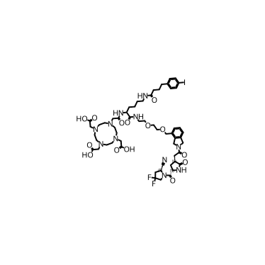 N#C[C@@H]1CC(F)(F)CN1C(=O)[C@@H]1C[C@@H](CC(=O)N2Cc3cccc(COCCOCCNC(=O)C(CCCCNC(=O)CCCc4ccc(I)cc4)NC(=O)CN4CCN(CC(=O)O)CCN(CC(=O)O)CCN(CC(=O)O)CC4)c3C2)C(=O)N1